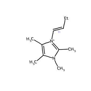 CC/C=C/[n+]1c(C)c(C)n(C)c1C